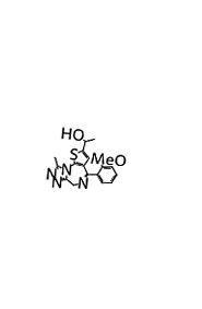 COc1ccccc1C1=NCc2nnc(C)n2-c2sc(C(C)O)cc21